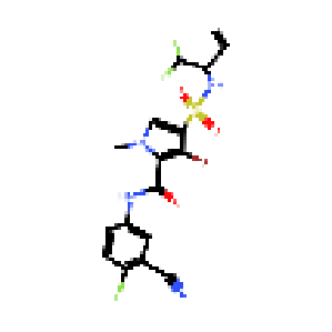 C=CC(NS(=O)(=O)c1cn(C)c(C(=O)Nc2ccc(F)c(C#N)c2)c1Br)C(F)F